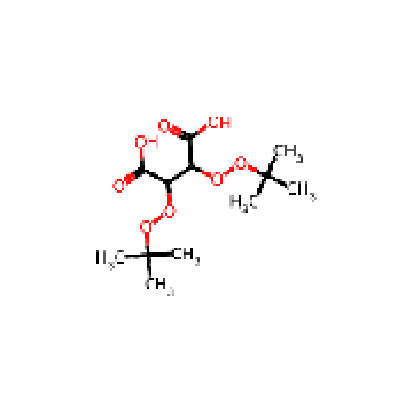 CC(C)(C)OOC(C(=O)O)C(OOC(C)(C)C)C(=O)O